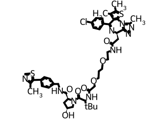 Cc1ncsc1-c1ccc(CNC(=O)[C@@H]2C[C@@H](O)CN2C(=O)C(NC(=O)COCCCOCCNC(=O)C[C@H]2N=C(c3ccc(Cl)cc3)c3c(sc(C)c3C)-n3c(C)nnc32)C(C)(C)C)cc1